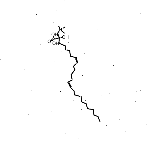 CCCCCCCCCC/C=C\CCCC/C=C\CCCCCC(O)(C[N+](C)(C)C)P(=O)(O)O